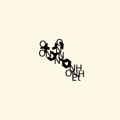 CCNC(=O)Nc1ccc(-c2nc3c(c(N4CCOCC4C)n2)CN(C(=O)C2(C)COC2)CC3)cc1